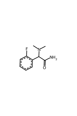 CN(C)C(C(N)=O)c1ccccc1F